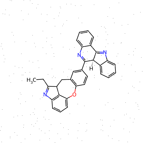 CCC1=Nc2cccc3c2C1Cc1cc(C2=Nc4ccccc4C4=Nc5ccccc5[C@@H]24)ccc1O3